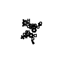 C#CCOc1cc(-n2nc(C(C)(C)C)oc2=O)c(Cl)cc1Cl.Cc1cc(C)nc(NC(=O)NS(=O)(=O)c2ccccc2C(=O)OC2COC2)n1